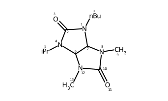 CCCCN1C(=O)N(C(C)C)C2C1N(C)C(=O)N2C